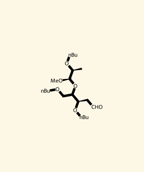 CCCCOCC(O[C@@H](OC)[C@H](C)OCCCC)[C@@H](CC=O)OCCCC